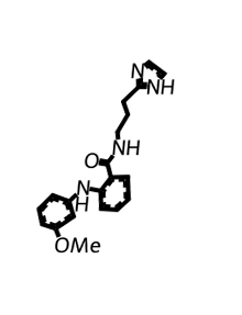 COc1cccc(Nc2ccccc2C(=O)NCCCc2ncc[nH]2)c1